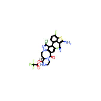 N#Cc1c(N)sc2c(F)ccc(-c3c(F)cc4c5c3c(Cl)nn5CC[C@H]3C(OC(=O)C(F)(F)F)NCCN3C4=O)c12